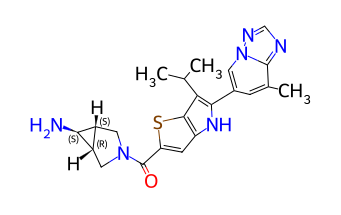 Cc1cc(-c2[nH]c3cc(C(=O)N4C[C@@H]5[C@@H](N)[C@@H]5C4)sc3c2C(C)C)cn2ncnc12